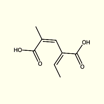 C/C=C(/C=C(C)C(=O)O)C(=O)O